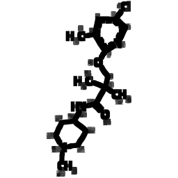 Cc1cc(Cl)cnc1OCC(C)(C)C(=O)NC1CCN(C)CC1